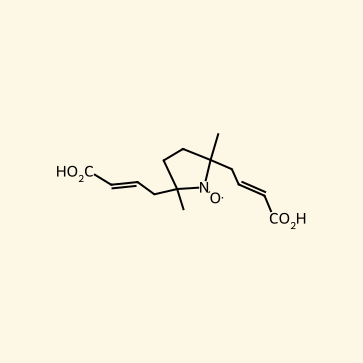 CC1(CC=CC(=O)O)CCC(C)(CC=CC(=O)O)N1[O]